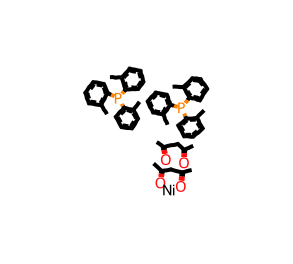 CC(=O)CC(C)=O.CC(=O)CC(C)=O.Cc1ccccc1P(c1ccccc1C)c1ccccc1C.Cc1ccccc1P(c1ccccc1C)c1ccccc1C.[Ni]